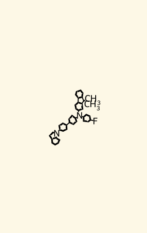 CC1(C)c2ccccc2-c2ccc(N(c3ccc(F)cc3)c3ccc(-c4ccc(-n5ccc6ccccc65)cc4)cc3)cc21